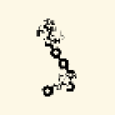 CC(C)[C@@](C)(NC(=O)C(C)(C)C)c1ncc(-c2ccc(-c3ccc(-c4cnc([C@@H]5CCCN5C(=O)OCc5ccccc5)[nH]4)cc3)cc2)[nH]1